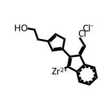 CC=C1C(C2=CC(CCO)=CC2)=[C]([Zr+2])c2ccccc21.[Cl-].[Cl-]